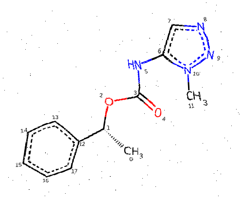 C[C@@H](OC(=O)Nc1cnnn1C)c1ccccc1